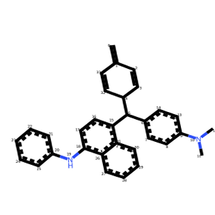 C=C1C=CC(C(c2ccc(N(C)C)cc2)c2ccc(Nc3ccccc3)c3ccccc23)C=C1